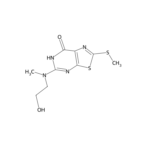 CSc1nc2c(=O)[nH]c(N(C)CCO)nc2s1